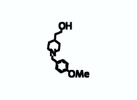 COc1ccc(CN2CCC(CCO)CC2)cc1